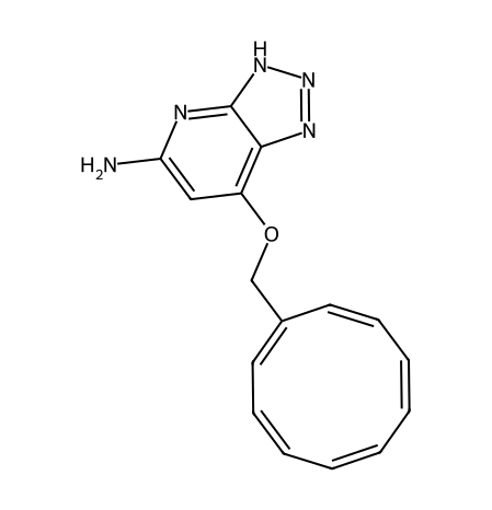 Nc1cc(OCc2ccccccccc2)c2nn[nH]c2n1